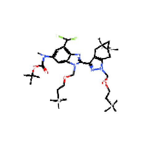 CN(C(=O)OC(C)(C)C)c1cc(C(F)F)c2nc(-c3nn(COCC[Si](C)(C)C)c4c3C[C@@H]3C[C@]3(C)C4)n(COCC[Si](C)(C)C)c2c1